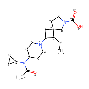 CCC1C(N2CCC(N(C(C)=O)C3CC3)CC2)CC12CCN(C(=O)O)C2